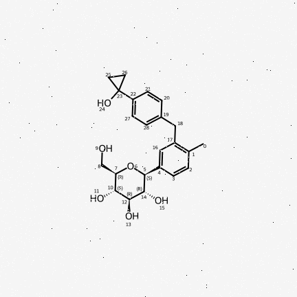 Cc1ccc([C@@H]2O[C@H](CO)[C@@H](O)[C@H](O)[C@H]2O)cc1Cc1ccc(C2(O)CC2)cc1